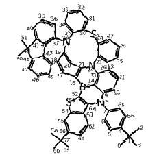 CC(C)(C)c1ccc(N2c3cccc4c3B(c3ccc5cc3N4c3ccccc3Sc3ccccc3N5c3cccc4c3-c3ccccc3C4(C)C)c3sc4cc(C(C)(C)C)ccc4c32)cc1